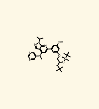 COc1cc(OCC([CH]C(C)(C)C)O[Si](C)(C)C(C)(C)C)cc(-c2cc(N(C)c3cncnc3)c3cnn(C(C)C)c3n2)c1